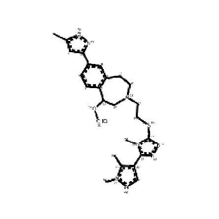 Cc1cc(-c2ccc3c(c2)CCN(CCSc2nnc(-c4cnn(C)c4C)n2C)CC3OC=O)no1